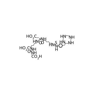 O=C(O)CC[C@H](NC(=O)CCCCCNC(=S)Nc1ccc(CC2CNCCNCCNCCN2)cc1)C(=O)NCCCC[C@H](NC(=O)NCC(=O)O)C(=O)O